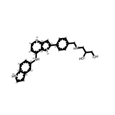 OCC(O)CNCc1ccc(-c2cc3nccc(Nc4ccc5[nH]ccc5c4)c3s2)cc1